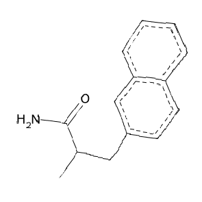 CC(Cc1ccc2ccccc2c1)C(N)=O